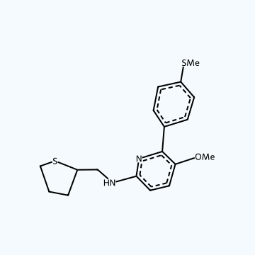 COc1ccc(NCC2CCCS2)nc1-c1ccc(SC)cc1